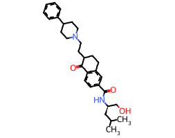 CC(C)C[C@H](CO)NC(=O)c1ccc2c(c1)CCC(CCN1CCC(c3ccccc3)CC1)C2=O